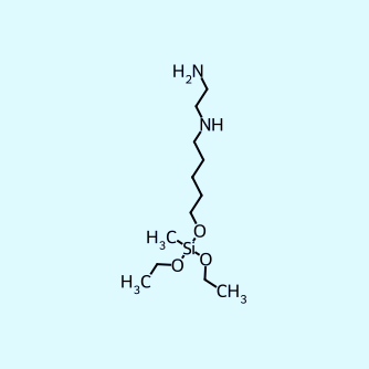 CCO[Si](C)(OCC)OCCCCCNCCN